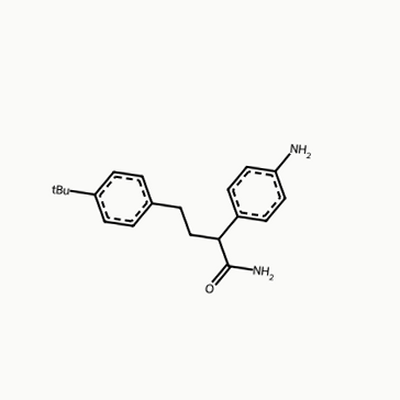 CC(C)(C)c1ccc(CCC(C(N)=O)c2ccc(N)cc2)cc1